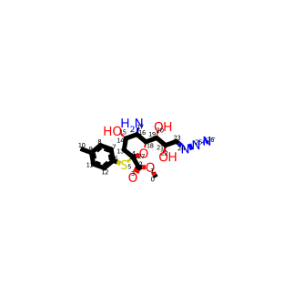 COC(=O)[C@]1(Sc2ccc(C)cc2)C[C@H](O)[C@@H](N)[C@H]([C@H](O)[C@H](O)CN=[N+]=[N-])O1